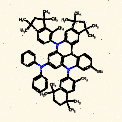 Cc1cc2c(cc1N1c3cc(C(C)(C)C)ccc3B3c4cc5c(cc4N(c4ccc6c(c4C)C(C)(C)CC6(C)C)c4cc(N(c6ccccc6)c6ccccc6)cc1c43)C(C)(C)CC5(C)C)C(C)(C)CCC2(C)C